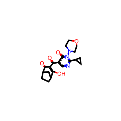 O=C(C1=C(O)C2CCC(C2)C1=O)c1cnc(C2CC2)n(N2CCOCC2)c1=O